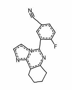 N#Cc1ccc(F)c(-c2nc3c(c4nccn24)CCCC3)c1